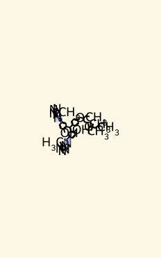 CCCC(C)(C)OCCC(CC)Oc1ccc(C(c2cc(/C=N/n3nnnc3C)ccc2O)c2cc(/C=N/n3nnnc3C)ccc2O)cc1